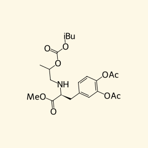 CCC(C)OC(=O)OC(C)CN[C@@H](Cc1ccc(OC(C)=O)c(OC(C)=O)c1)C(=O)OC